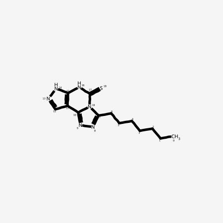 CCCCCCCc1nnc2c3cn[nH]c3[nH]c(=S)n12